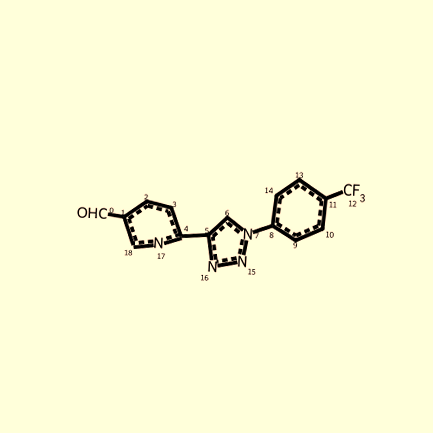 O=Cc1ccc(-c2cn(-c3ccc(C(F)(F)F)cc3)nn2)nc1